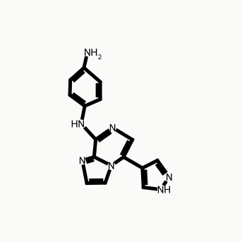 Nc1ccc(Nc2ncc(-c3cn[nH]c3)n3ccnc23)cc1